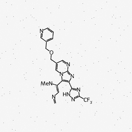 C=N/C=C(\NC)c1c(-c2nc(C(F)(F)F)n[nH]2)nc2ncc(COCc3cccnc3)cn12